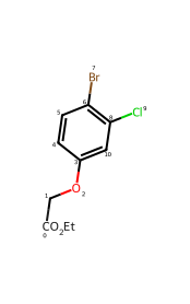 CCOC(=O)COc1ccc(Br)c(Cl)c1